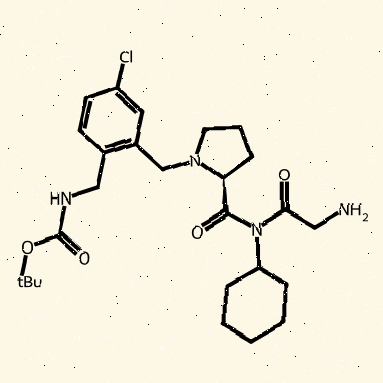 CC(C)(C)OC(=O)NCc1ccc(Cl)cc1CN1CCC[C@H]1C(=O)N(C(=O)CN)C1CCCCC1